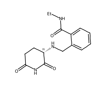 CCNC(=O)c1ccccc1CN[C@H]1CCC(=O)NC1=O